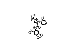 CC(=O)c1cc2c(cc1NC(=O)c1cc(C(F)(F)F)nn1-c1ccccc1Cl)OCO2